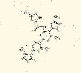 Cc1cc(C(C(=O)NC(=O)[C@@H]2C[C@@H](O)CN2)C(C)CCc2ccc(-c3scnc3C)cc2O)on1